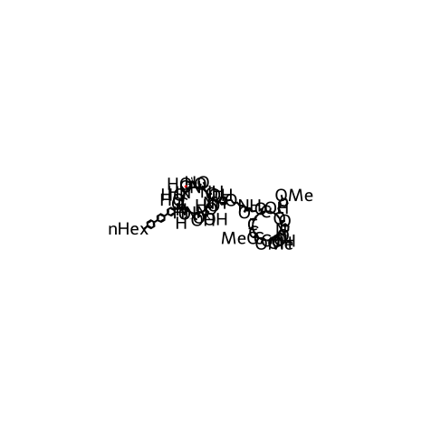 CCCCCCc1ccc(-c2ccc(-c3ccc(C(=O)NC4C[C@@H](O)[C@@H](O)NC(=O)C5[C@@H](O)[C@@H](C)CN5C(=O)C([C@@H](C)O)NC(=O)C([C@H](O)[C@@H](O)c5ccc(OCCCNC(=O)/C=C/C[C@H]6/C=C(/C)C[C@H](C)CC(OC)CC(OC)CC(C)C(O)(O)C(=O)C(=O)N7CCCCC7C(=O)O[C@@H](/C(C)=C/C7CCCC(OC)C7)[C@H](C)C(O)CC6=O)cc5)NC(=O)C5C[C@@H](O)CN5C(=O)C([C@@H](C)O)NC4=O)cc3)cc2)cc1